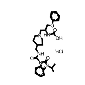 CC(C)n1c(=O)n(C(=O)NCC2CCN(CC(COc3ccccc3)NC(=O)O)CC2)c2ccccc21.Cl